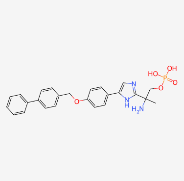 CC(N)(COP(=O)(O)O)c1ncc(-c2ccc(OCc3ccc(-c4ccccc4)cc3)cc2)[nH]1